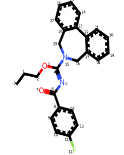 CCCO/C(=N\C(=O)c1ccc(F)cc1)N1Cc2ccccc2-c2ccccc2C1